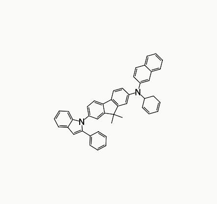 CC1(C)c2cc(N(c3ccc4ccccc4c3)C3C=CC=CC3)ccc2-c2ccc(-n3c(-c4ccccc4)cc4ccccc43)cc21